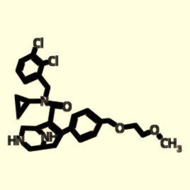 COCCOCc1ccc(C2=C(C(=O)N(Cc3cccc(Cl)c3Cl)C3CC3)C3CNCC(C2)N3)cc1